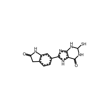 O=C1Cc2ccc(-c3nc4c([nH]3)C(=O)NC(S)N4)cc2N1